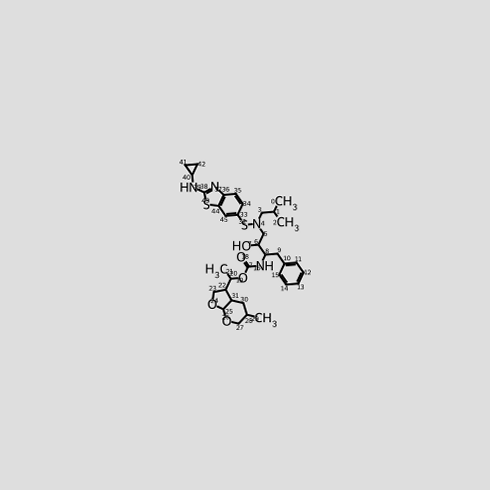 CC(C)CN(CC(O)C(Cc1ccccc1)NC(=O)OC(C)C1COC2OCC(C)CC21)Sc1ccc2nc(NC3CC3)sc2c1